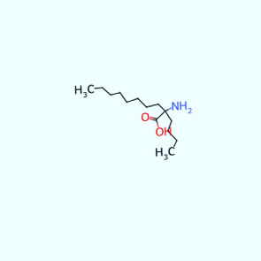 CCCCCCCCC(N)(CCCC)C(=O)O